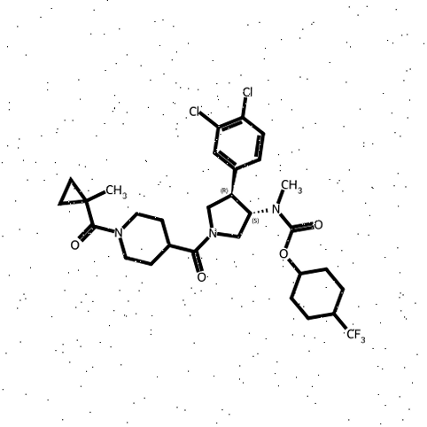 CN(C(=O)OC1CCC(C(F)(F)F)CC1)[C@@H]1CN(C(=O)C2CCN(C(=O)C3(C)CC3)CC2)C[C@H]1c1ccc(Cl)c(Cl)c1